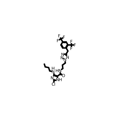 CCCCNc1nc(Cl)[nH]c1C(=O)NCCCn1nnc(Cc2ccc(C(F)(F)F)cc2C(F)(F)F)n1